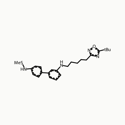 CSNc1ccc(-c2cccc(NCCCCCc3noc(C(C)(C)C)n3)c2)cc1